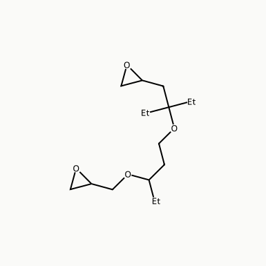 CCC(CCOC(CC)(CC)CC1CO1)OCC1CO1